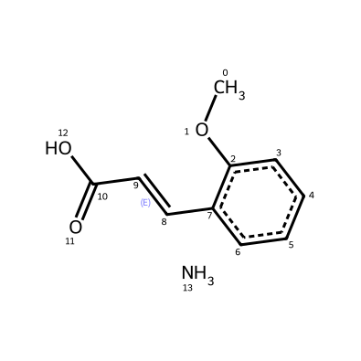 COc1ccccc1/C=C/C(=O)O.N